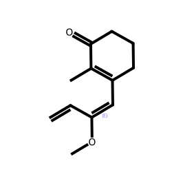 C=C/C(=C\C1=C(C)C(=O)CCC1)OC